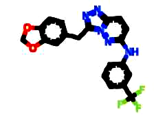 FC(F)(F)c1cccc(Nc2ccc3nnc(Cc4ccc5c(c4)OCO5)n3n2)c1